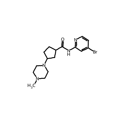 CN1CCN(C2CCC(C(=O)Nc3cc(Br)ccn3)C2)CC1